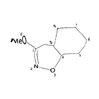 COC1=NOC2CCCCC12